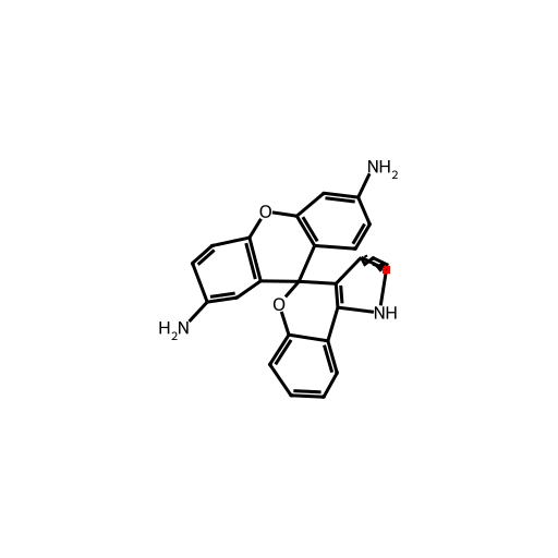 Nc1ccc2c(c1)Oc1ccc(N)cc1C21Oc2ccccc2-c2[nH]c3ccccc3c21